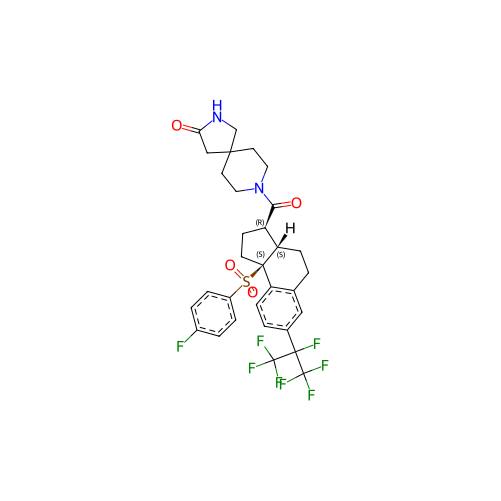 O=C1CC2(CCN(C(=O)[C@@H]3CC[C@@]4(S(=O)(=O)c5ccc(F)cc5)c5ccc(C(F)(C(F)(F)F)C(F)(F)F)cc5CC[C@@H]34)CC2)CN1